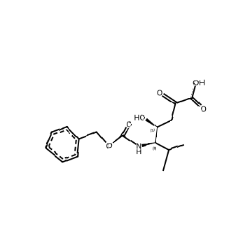 CC(C)[C@@H](NC(=O)OCc1ccccc1)[C@@H](O)CC(=O)C(=O)O